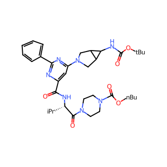 CCCCOC(=O)N1CCN(C(=O)[C@@H](NC(=O)c2cc(N3CC4C(C3)C4NC(=O)OC(C)(C)C)nc(-c3ccccc3)n2)C(C)C)CC1